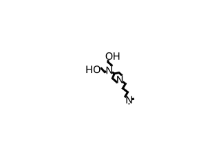 CN(C)CCCCN1CCC(N(CCO)CCO)CC1